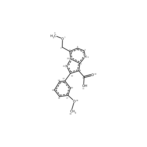 COCc1ccnc2c(C(=O)O)c(-c3cccc(OC)c3)nn12